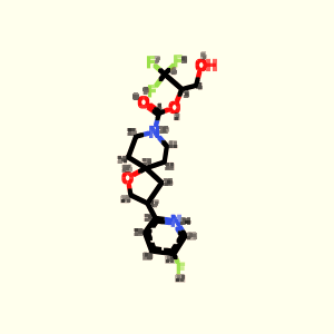 O=C(OC(CO)C(F)(F)F)N1CCC2(CC1)CC(c1ccc(F)cn1)CO2